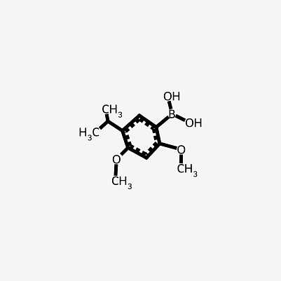 COc1cc(OC)c(C(C)C)cc1B(O)O